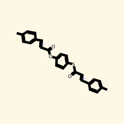 Cc1ccc(/C=C/C(=O)Oc2ccc(SC(=O)/C=C/c3ccc(C)cc3)cc2)cc1